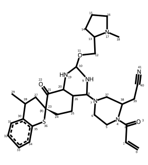 C=CC(=O)N1CCN(C2NC(OCC3CCCN3C)NC3C(=O)[C@@]4(CCC32)CC(C)c2ccccc2S4)CC1CC#N